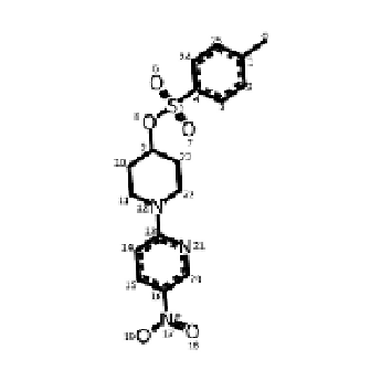 Cc1ccc(S(=O)(=O)OC2CCN(c3ccc([N+](=O)[O-])cn3)CC2)cc1